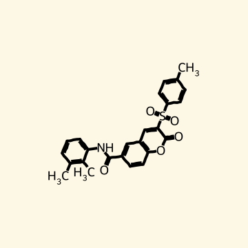 Cc1ccc(S(=O)(=O)c2cc3cc(C(=O)Nc4cccc(C)c4C)ccc3oc2=O)cc1